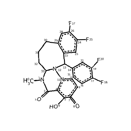 CN1C(=O)c2c(O)c(=O)ccn2N2C(c3ccc(F)c(F)c3)c3cc(F)c(F)cc3CCCC12